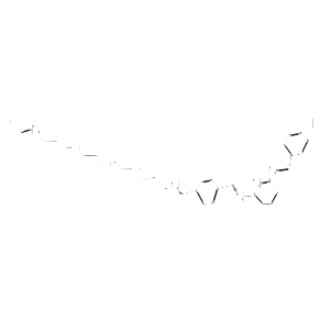 CC=NCCCOCCOCCOCCCN=Cc1ccc(/C=N/c2cccc(/N=C/c3ccc(C)cc3)n2)cc1